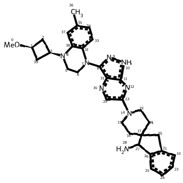 CO[C@H]1C[C@@H](N2CCN(c3n[nH]c4nc(N5CCC6(CC5)Cc5ccccc5C6N)cnc34)c3ccc(C)cc32)C1